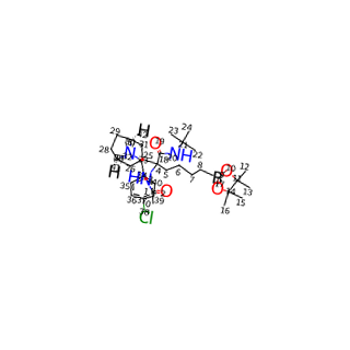 CC(=O)NC(CCCCB1OC(C)(C)C(C)(C)O1)(C(=O)NC(C)(C)C)C1C[C@H]2CC[C@@H](C1)N2Cc1ccc(Cl)cc1